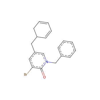 O=c1c(Br)cc(CC2C=CC=CC2)cn1Cc1ccccc1